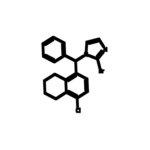 Clc1ccc(C(c2ccccc2)n2ccnc2Br)c2c1CCCC2